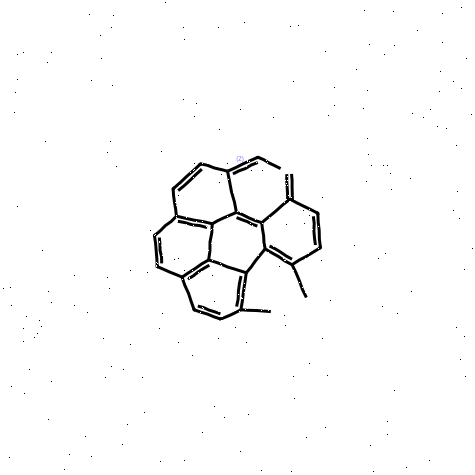 C=c1ccc(C)c2c3c(C)ccc4ccc5cc/c(=C/C)c(c12)c5c43